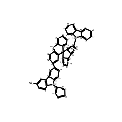 N#Cc1ccc2c(c1)c1cc(-c3ccc4c(c3)C3(c5ccccc5S4)c4cccnc4-c4ncc(-n5c6ccccc6c6ccccc65)cc43)ccc1n2-c1ccccc1